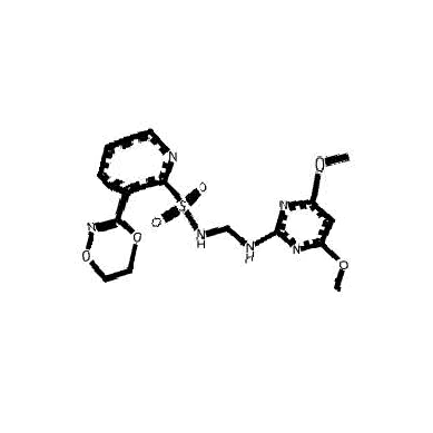 COc1cc(OC)nc(NCNS(=O)(=O)c2ncccc2C2=NOCCO2)n1